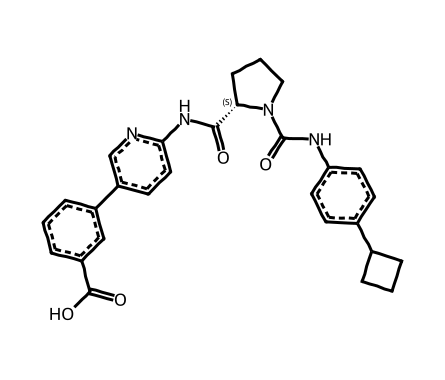 O=C(O)c1cccc(-c2ccc(NC(=O)[C@@H]3CCCN3C(=O)Nc3ccc(C4CCC4)cc3)nc2)c1